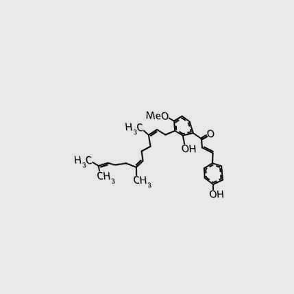 COc1ccc(C(=O)C=Cc2ccc(O)cc2)c(O)c1CC=C(C)CCC=C(C)CCC=C(C)C